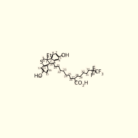 CCC1(c2ccc(O)cc2)CSc2cc(O)ccc2C1CCCCCCCCC(CCCCCC(F)(F)C(F)(F)F)C(=O)O